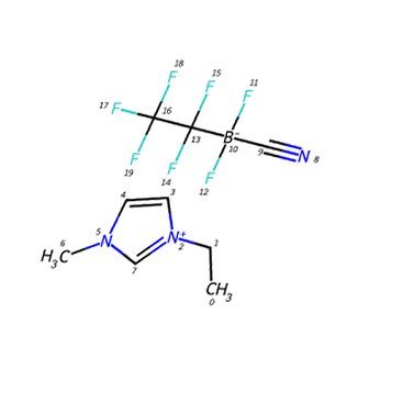 CC[n+]1ccn(C)c1.N#C[B-](F)(F)C(F)(F)C(F)(F)F